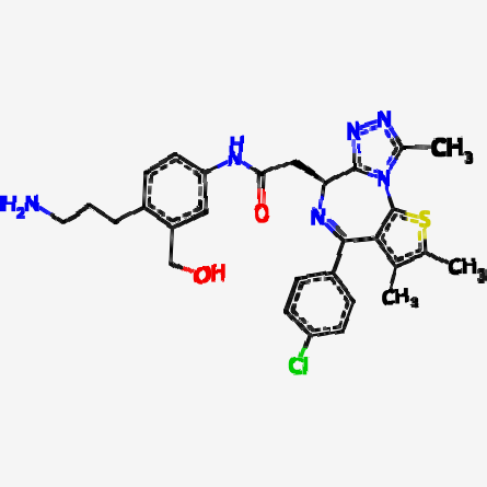 Cc1sc2c(c1C)C(c1ccc(Cl)cc1)=N[C@@H](CC(=O)Nc1ccc(CCCN)c(CO)c1)c1nnc(C)n1-2